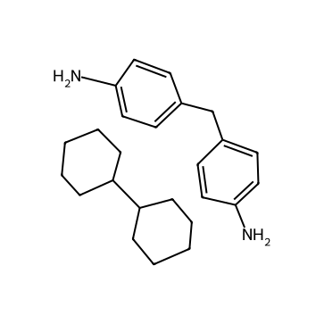 C1CCC(C2CCCCC2)CC1.Nc1ccc(Cc2ccc(N)cc2)cc1